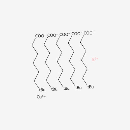 CC(C)(C)CCCCCC(=O)[O-].CC(C)(C)CCCCCC(=O)[O-].CC(C)(C)CCCCCC(=O)[O-].CC(C)(C)CCCCCC(=O)[O-].CC(C)(C)CCCCCC(=O)[O-].[B+3].[Cu+2]